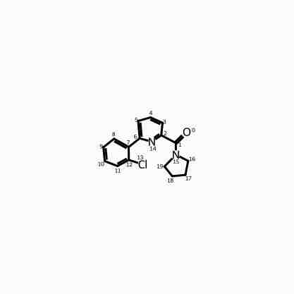 O=C(c1cccc(-c2ccccc2Cl)n1)N1CCCC1